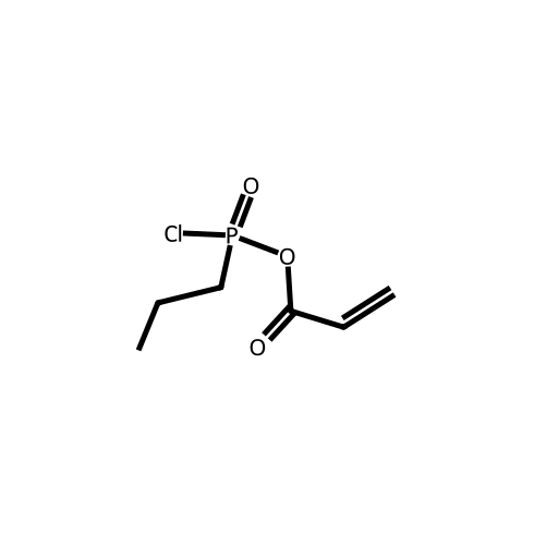 C=CC(=O)OP(=O)(Cl)CCC